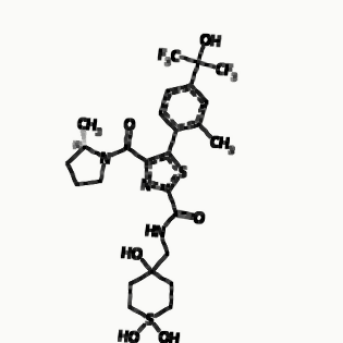 Cc1cc(C(O)(C(F)(F)F)C(F)(F)F)ccc1-c1sc(C(=O)NCC2(O)CCS(O)(O)CC2)nc1C(=O)N1CCC[C@@H]1C